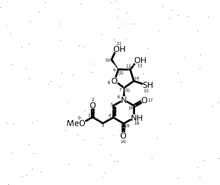 COC(=O)Cc1cn([C@H]2O[C@@H](CO)C(O)C2S)c(=O)[nH]c1=O